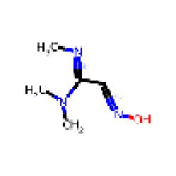 C/N=C(/C=N/O)N(C)C